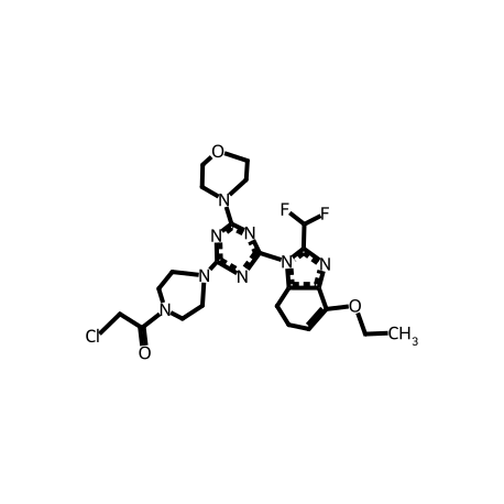 CCOC1=CCCc2c1nc(C(F)F)n2-c1nc(N2CCOCC2)nc(N2CCN(C(=O)CCl)CC2)n1